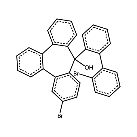 OC1(c2ccccc2-c2ccccc2Br)c2ccccc2-c2ccccc2-c2cc(Br)ccc21